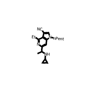 CCCCCn1cc(C#N)c2c(CC)nc(C(C)NC3CC3)cc21